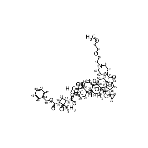 COCCOCCN1CCN(C(=O)[C@]23CC[C@@H](C4(C)CC4)[C@@H]2[C@H]2CC[C@@H]4[C@@]5(C)CC[C@H](OC(=O)[C@H]6C[C@@H](C(=O)OCc7ccccc7)C6(C)C)C(C)(C)[C@@H]5CC[C@@]4(C)[C@]2(C)CC3)CC1